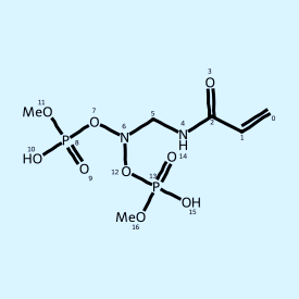 C=CC(=O)NCN(OP(=O)(O)OC)OP(=O)(O)OC